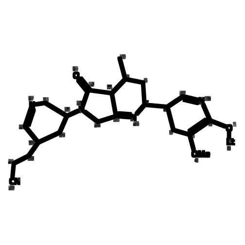 CCOC1=C(OC)CC(C2CC(C)C3C(=O)N(C4CN=CC(CCC#N)C4)CC3=N2)C=N1